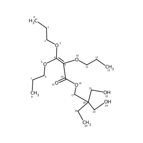 CCCOC(OCCC)=C(OCCC)C(=O)OCC(CC)(CO)CO